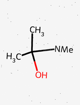 CNC(C)(C)O